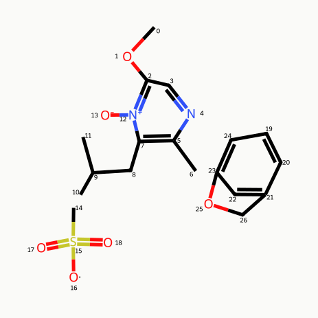 COc1cnc(C)c(CC(C)C)[n+]1[O-].CS([O])(=O)=O.c1cc2cc(c1)OC2